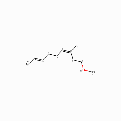 CC(=O)C=CCCC=C(C)CCOC(C)C